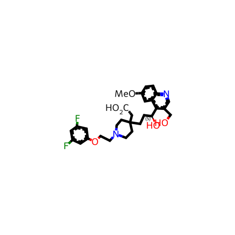 COc1ccc2ncc(CO)c([C@@H](O)CCC3(CC(=O)O)CCN(CCOc4cc(F)cc(F)c4)CC3)c2c1